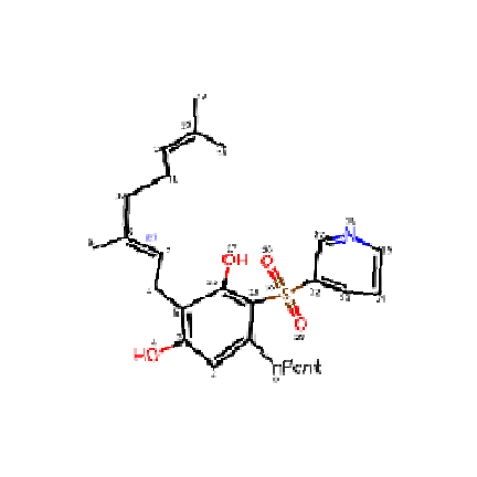 CCCCCc1cc(O)c(C/C=C(\C)CCC=C(C)C)c(O)c1S(=O)(=O)c1cccnc1